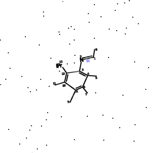 C/C=N/c1c(C)c(C)c(C)c(C)c1C(C)C